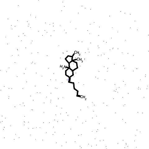 C=CCCC/C=C1/CCC2(N)C(CCC3(C)C(C)CCC32)C1